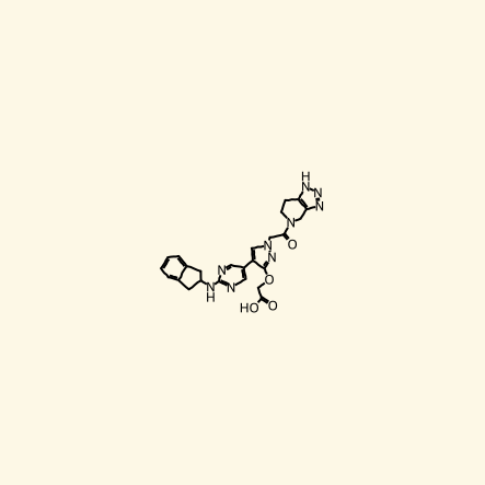 O=C(O)COc1nn(CC(=O)N2CCc3[nH]nnc3C2)cc1-c1cnc(NC2Cc3ccccc3C2)nc1